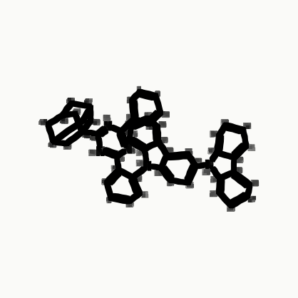 c1ccc(-c2nc(-c3ccccc3-n3c4ccccc4c4cc(-n5c6ccccc6c6ccccc65)ccc43)nc(C34CC5CC(CC(C5)C3)C4)n2)cc1